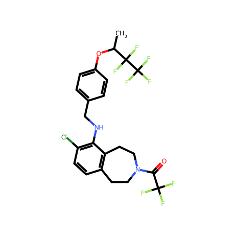 CC(Oc1ccc(CNc2c(Cl)ccc3c2CCN(C(=O)C(F)(F)F)CC3)cc1)C(F)(F)C(F)(F)F